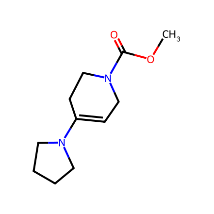 COC(=O)N1CC=C(N2CCCC2)CC1